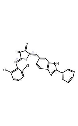 O=C1N/C(=N/c2c(Cl)cccc2Cl)S/C1=C\c1ccc2nc(-c3ccccc3)[nH]c2c1